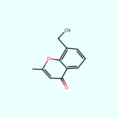 Cc1cc(=O)c2cccc(CC#N)c2o1